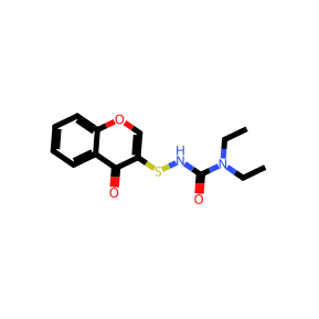 CCN(CC)C(=O)NSc1coc2ccccc2c1=O